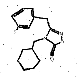 O=c1onc(Cc2cccc(F)c2)n1CC1CCCCC1